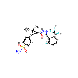 CC1(C)[C@@H](c2ccc(S(N)(=O)=O)cc2)[C@@H]1c1nnc(-c2c(F)cccc2C(F)(F)F)o1